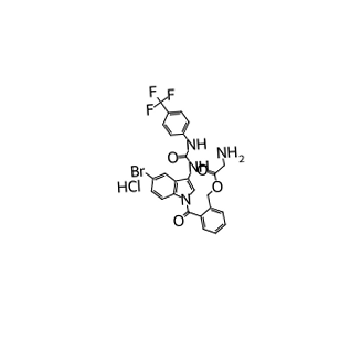 Cl.NCC(=O)OCc1ccccc1C(=O)n1cc(NC(=O)Nc2ccc(C(F)(F)F)cc2)c2cc(Br)ccc21